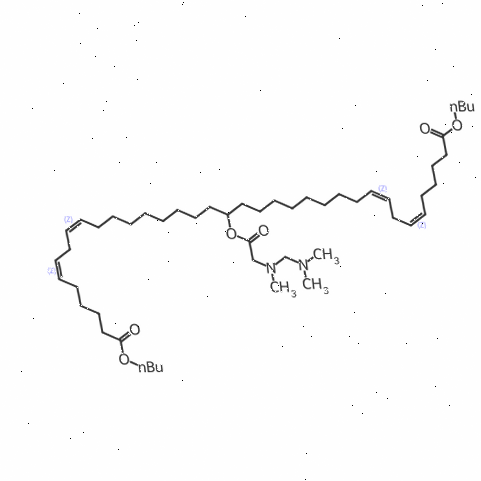 CCCCOC(=O)CCCC/C=C\C/C=C\CCCCCCCCC(CCCCCCCC/C=C\C/C=C\CCCCC(=O)OCCCC)OC(=O)CN(C)CN(C)C